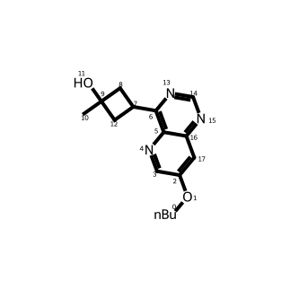 CCCCOc1cnc2c(C3CC(C)(O)C3)ncnc2c1